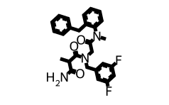 CC(C(N)=O)C(=O)N(CC(=O)N(C)c1ccccc1Cc1ccccc1)Cc1cc(F)cc(F)c1